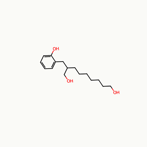 OCCCCCCCC(CO)Cc1ccccc1O